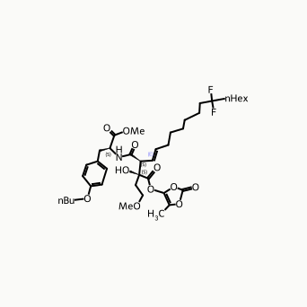 CCCCCCC(F)(F)CCCCCC/C=C/[C@H](C(=O)N[C@@H](Cc1ccc(OCCCC)cc1)C(=O)OC)[C@@](O)(CCOC)C(=O)Oc1oc(=O)oc1C